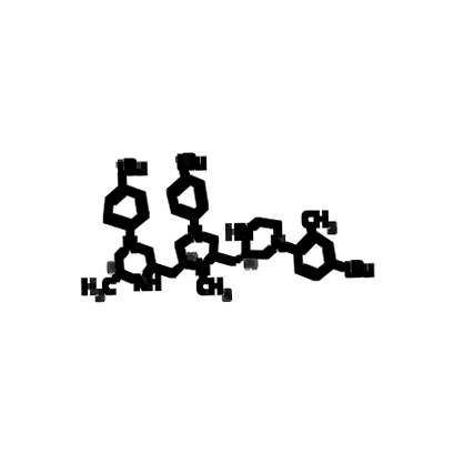 Cc1cc(C(C)(C)C)ccc1N1CCN[C@@H](CC2CN(c3ccc(C(C)(C)C)cc3)C[C@H](CC3CN(c4ccc(C(C)(C)C)cc4)C[C@H](C)N3)N2C)C1